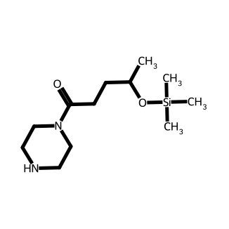 CC(CCC(=O)N1CCNCC1)O[Si](C)(C)C